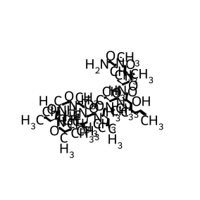 C/C=C\C[C@@H](C)[C@H](O)C(C(=O)N[C@@H](CC)C(=O)N(C)CC(=O)N(C)[C@H](C)C(N)=O)N(C)C(=O)[C@H](C(C)C)N(C)C(=O)[C@@H](CC(C)C)N(C)C(=O)[C@@H](CC(C)C)N(C)C(=O)[C@H](C)NC(=O)[C@@H](C)NC(=O)[C@H](CC(C)C)N(C)C(=O)[C@H](C)C(C)C